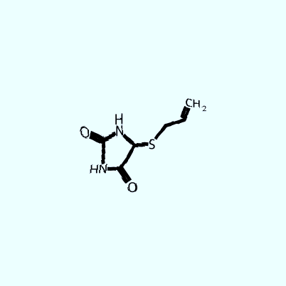 C=CCSC1NC(=O)NC1=O